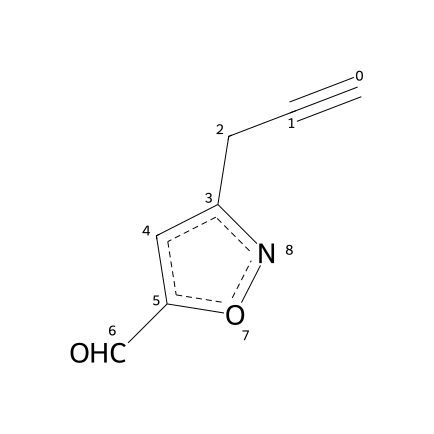 C#CCc1cc(C=O)on1